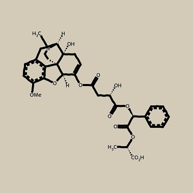 COc1ccc2c3c1O[C@@H]1C(OC(=O)C[C@H](O)C(=O)O[C@H](C(=O)O[C@@H](C)C(=O)O)c4ccccc4)=CC[C@]4(O)[C@H](C2)N(C)CC[C@@]314